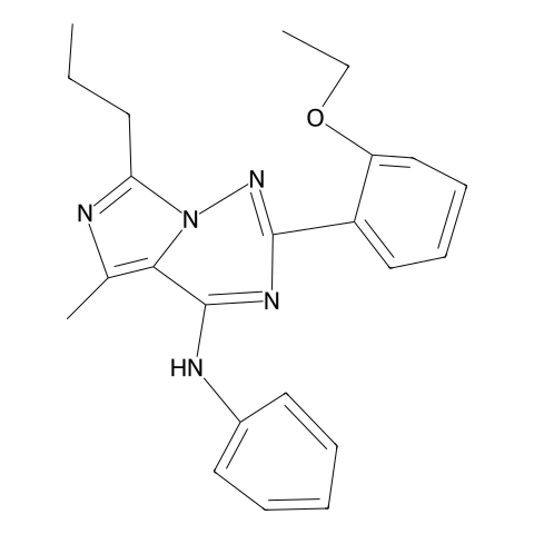 CCCc1nc(C)c2c(Nc3ccccc3)nc(-c3ccccc3OCC)nn12